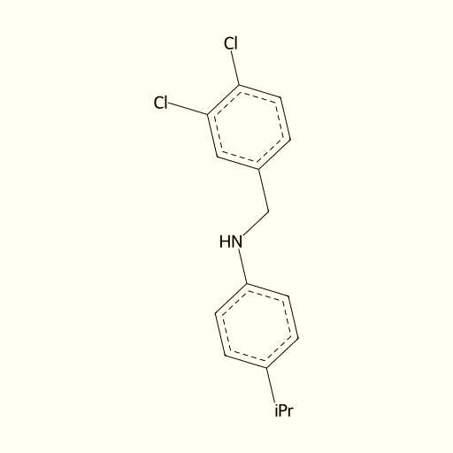 CC(C)c1ccc(NCc2ccc(Cl)c(Cl)c2)cc1